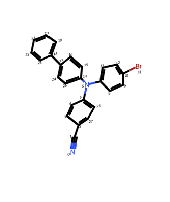 N#Cc1ccc(N(c2ccc(Br)cc2)c2ccc(-c3ccccc3)cc2)cc1